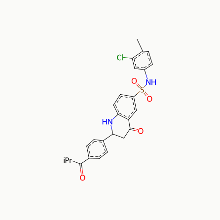 Cc1ccc(NS(=O)(=O)c2ccc3c(c2)C(=O)CC(c2ccc(C(=O)C(C)C)cc2)N3)cc1Cl